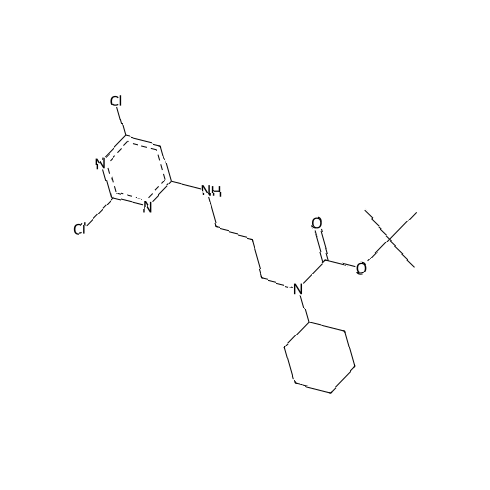 CC(C)(C)OC(=O)N(CCCNc1cc(Cl)nc(Cl)n1)C1CCCCC1